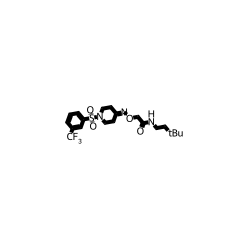 CC(C)(C)CCNC(=O)CON=C1CCN(S(=O)(=O)c2cccc(C(F)(F)F)c2)CC1